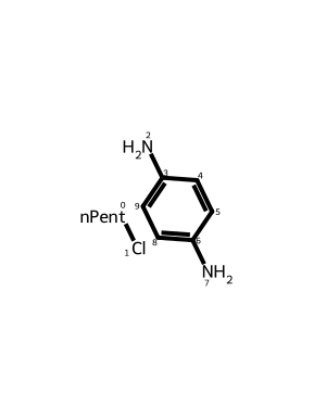 CCCCCCl.Nc1ccc(N)cc1